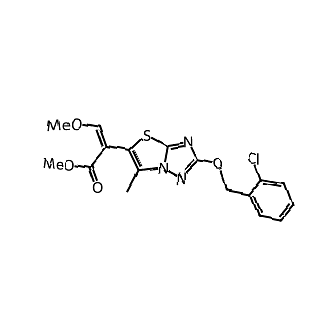 COC=C(C(=O)OC)c1sc2nc(OCc3ccccc3Cl)nn2c1C